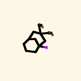 CC1(C)CC2CCCC(I)(C2)C1